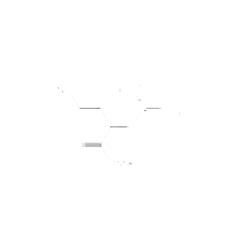 COC(=O)C(O[SiH](C)C)[C@H](CC#N)C(C)(C)C